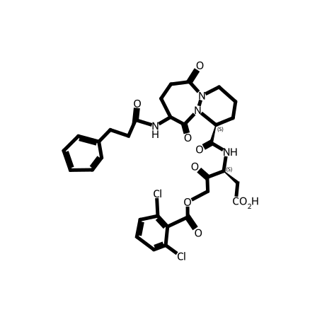 O=C(O)C[C@H](NC(=O)[C@@H]1CCCN2C(=O)CCC(NC(=O)CCc3ccccc3)C(=O)N12)C(=O)COC(=O)c1c(Cl)cccc1Cl